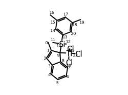 CC1=Cc2ccccc2[C]1([Si](C)(C)c1cc(C)cc(C)c1)[Ti]([Cl])([Cl])[Cl]